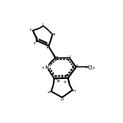 Clc1cc(C2=CCCC2)nc2c1CCC2